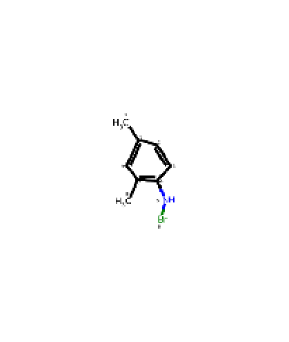 Cc1ccc(NBr)c(C)c1